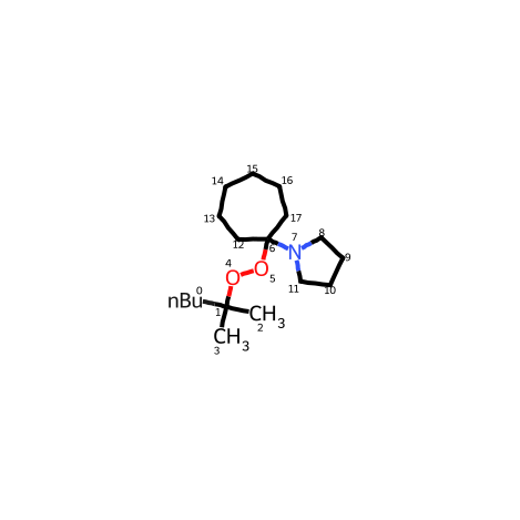 CCCCC(C)(C)OOC1(N2CCCC2)CCCCCC1